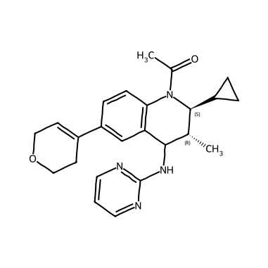 CC(=O)N1c2ccc(C3=CCOCC3)cc2C(Nc2ncccn2)[C@@H](C)[C@@H]1C1CC1